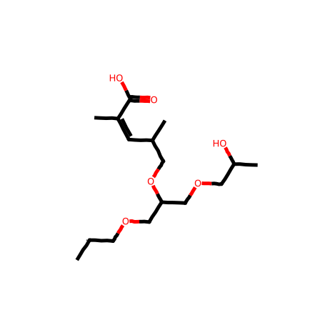 C[CH]COCC(COCC(C)O)OCC(C)C=C(C)C(=O)O